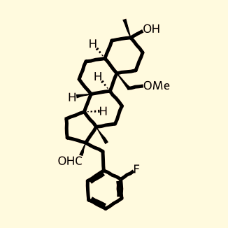 COC[C@]12CC[C@@](C)(O)C[C@@H]1CC[C@@H]1[C@@H]2CC[C@@]2(C)[C@H]1CC[C@@]2(C=O)Cc1ccccc1F